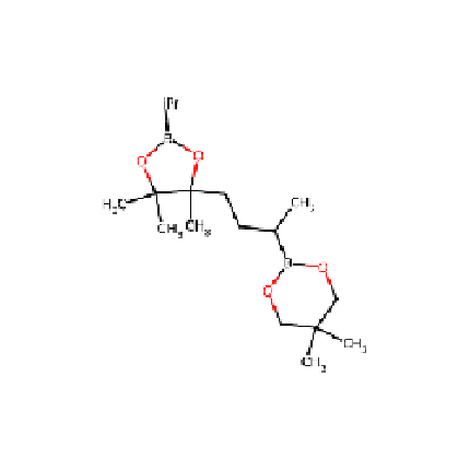 CC(C)B1OC(C)(C)C(C)(CCC(C)B2OCC(C)(C)CO2)O1